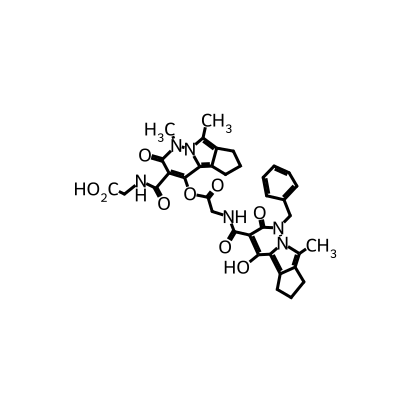 Cc1c2c(c3c(OC(=O)CNC(=O)c4c(O)c5c6c(c(C)n5n(Cc5ccccc5)c4=O)CCC6)c(C(=O)NCC(=O)O)c(=O)n(C)n13)CCC2